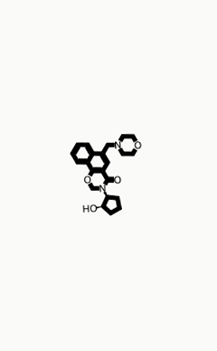 O=C1c2cc(CN3CCOCC3)c3ccccc3c2OCN1[C@H]1CCC[C@@H]1O